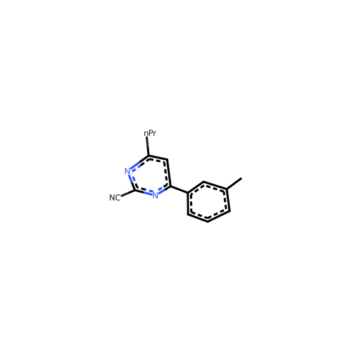 CCCc1cc(-c2cccc(C)c2)nc(C#N)n1